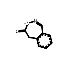 O=C1Cc2ccccc2[C]=NN1